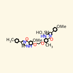 COc1ccc(C2=CN3C(=O)c4cc(C)c(OCCCOc5cc6c(cc5OC)C(=O)N5C=C(c7ccc(C)cc7)C[C@H]5CN6)cc4NC(S(=O)(=O)O)[C@@H]3C2)cc1